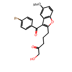 COc1ccc2oc(CCCC(=O)CO)c(C(=O)c3ccc(Br)cc3)c2c1